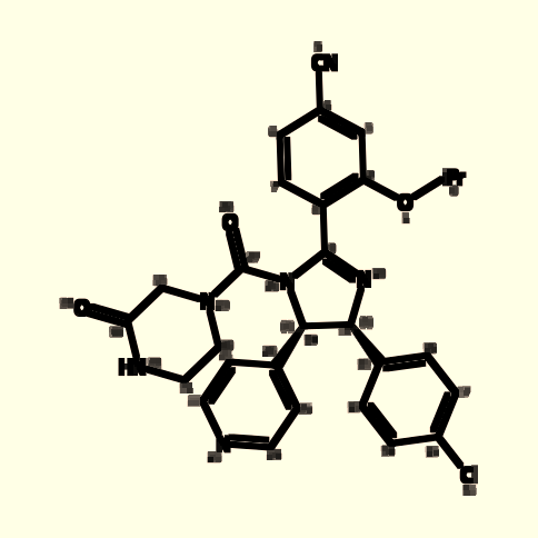 CC(C)Oc1cc(C#N)ccc1C1=N[C@@H](c2ccc(Cl)cc2)[C@@H](c2ccncc2)N1C(=O)N1CCNC(=O)C1